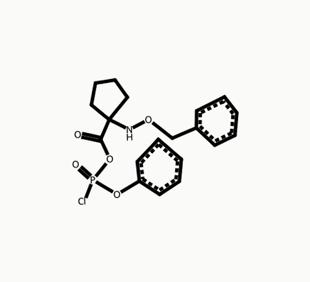 O=C(OP(=O)(Cl)Oc1ccccc1)C1(NOCc2ccccc2)CCCC1